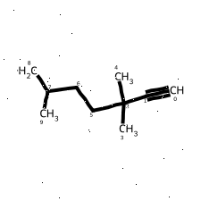 C#CC(C)(C)CCC([CH2])C